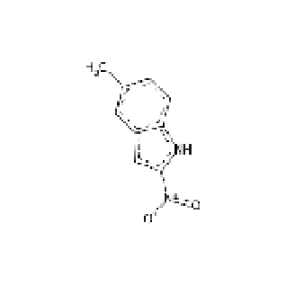 Cc1ccc2[nH]c([N+](=O)[O-])cc2c1